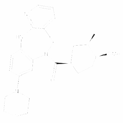 CO[C@H]1CC[C@@H](C(=O)N2Cc3cccnc3Nc3ccc(N4CCOCC4)cc32)C[C@H]1C